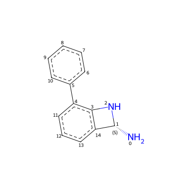 N[C@H]1Nc2c(-c3ccccc3)cccc21